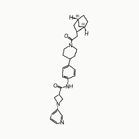 O=C(Nc1ccc(C2CCN(C(=O)CC3C[C@@H]4CC[C@H]3C4)CC2)cc1)C1CN(c2cccnc2)C1